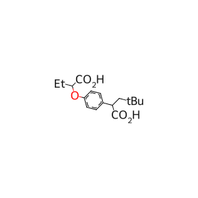 CCC(Oc1ccc(C(CC(C)(C)C)C(=O)O)cc1)C(=O)O